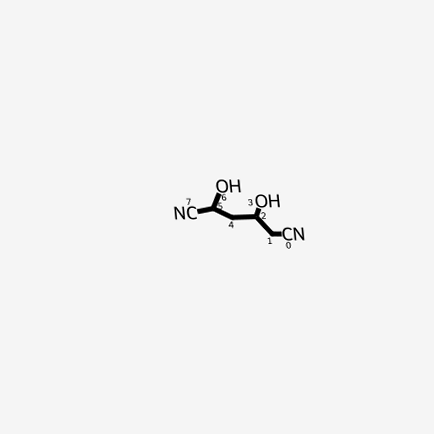 N#CCC(O)CC(O)C#N